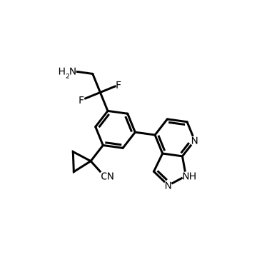 N#CC1(c2cc(-c3ccnc4[nH]ncc34)cc(C(F)(F)CN)c2)CC1